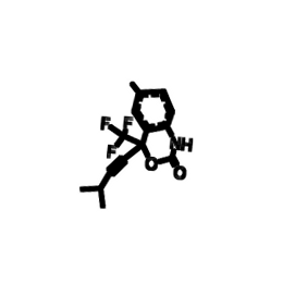 Cc1ccc2c(c1)C(C#CC(C)C)(C(F)(F)F)OC(=O)N2